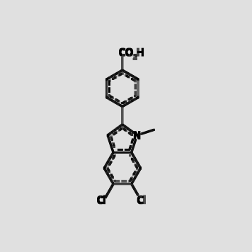 Cn1c(-c2ccc(C(=O)O)cc2)cc2cc(Cl)c(Cl)cc21